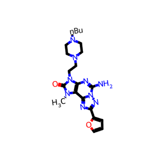 CCCCN1CCN(CCn2c(=O)n(C)c3c2nc(N)n2nc(-c4ccco4)nc32)CC1